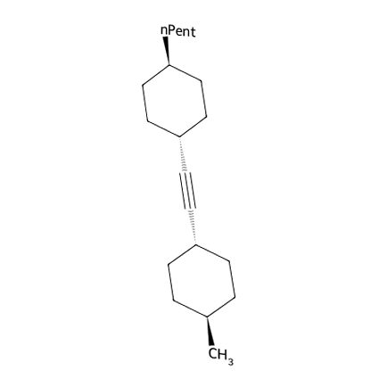 CCCCC[C@H]1CC[C@H](C#C[C@H]2CC[C@H](C)CC2)CC1